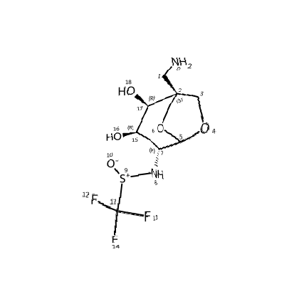 NC[C@@]12COC(O1)[C@H](N[S+]([O-])C(F)(F)F)[C@@H](O)[C@H]2O